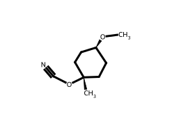 CO[C@H]1CC[C@](C)(OC#N)CC1